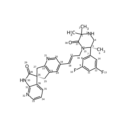 CC1(C)NC[C@@](C)(c2cc(F)cc(F)c2)N(C/C=C/c2cnc3c(c2)C[C@@]2(C3)C(=O)Nc3ncccc32)C1=O